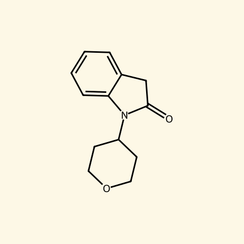 O=C1Cc2ccccc2N1C1CCOCC1